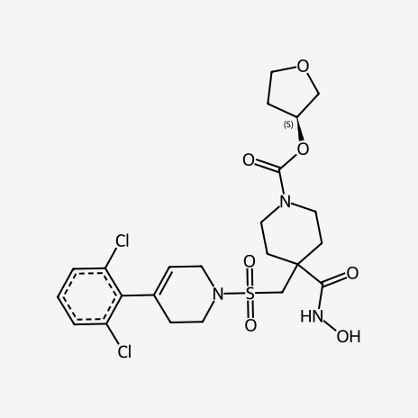 O=C(O[C@H]1CCOC1)N1CCC(CS(=O)(=O)N2CC=C(c3c(Cl)cccc3Cl)CC2)(C(=O)NO)CC1